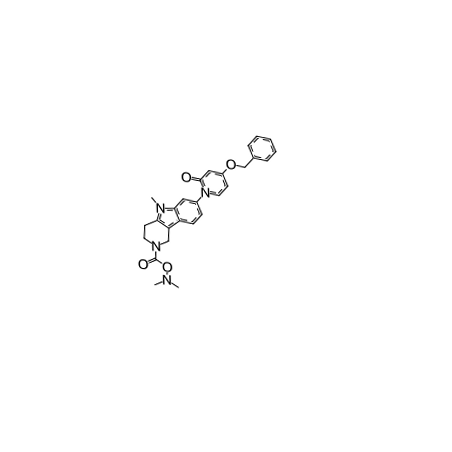 CN(C)OC(=O)N1CCc2c(c3ccc(-n4ccc(OCc5ccccc5)cc4=O)cc3n2C)C1